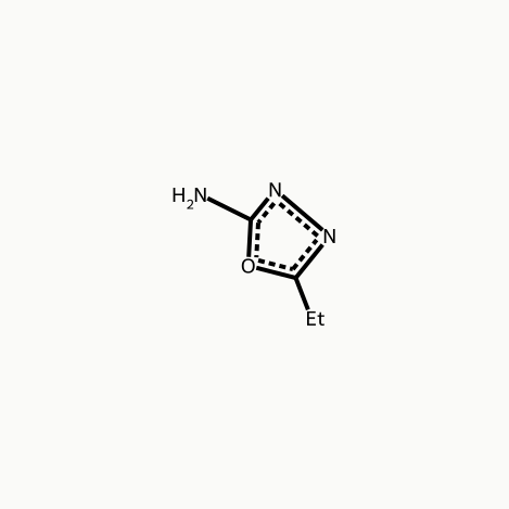 [CH2]Cc1nnc(N)o1